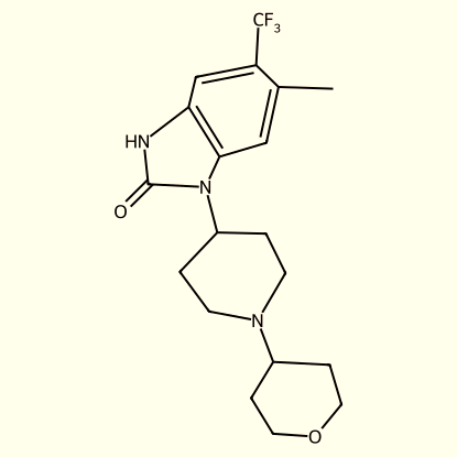 Cc1cc2c(cc1C(F)(F)F)[nH]c(=O)n2C1CCN(C2CCOCC2)CC1